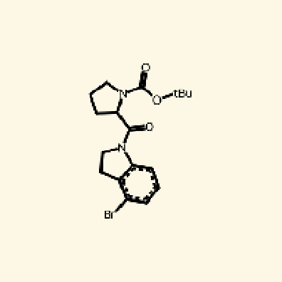 CC(C)(C)OC(=O)N1CCCC1C(=O)N1CCc2c(Br)cccc21